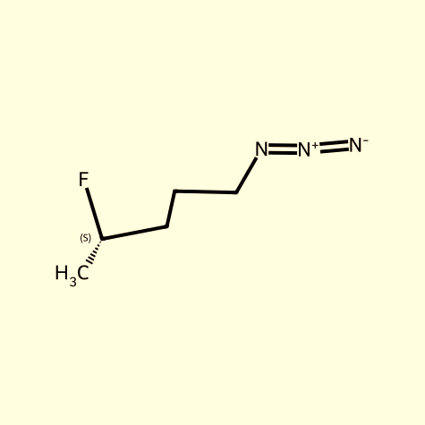 C[C@H](F)CCCN=[N+]=[N-]